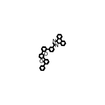 c1ccc(-c2cccc3c2oc2ccc4c5cccc(-c6cccc(-c7cnc8c9ccccc9c9ccccc9c8n7)c6)c5oc4c23)cc1